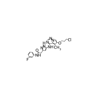 Cc1c(OCCCCl)cn2ncnc(Nc3cc(CC(=O)Nc4cccc(F)c4)n[nH]3)c12